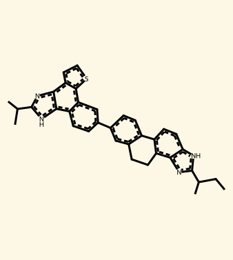 CCC(C)c1nc2c3c(ccc2[nH]1)-c1ccc(-c2ccc4c(c2)c2sccc2c2nc(C(C)C)[nH]c42)cc1CC3